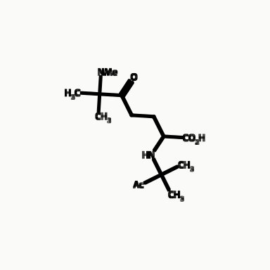 CNC(C)(C)C(=O)CCC(NC(C)(C)C(C)=O)C(=O)O